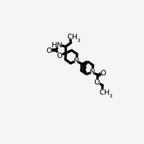 CCOC(=O)N1CC2CCC1C=C2N1CCC2(CC1)OC(=O)NC2CC